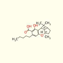 CCCCCc1cc2c(c(O)c1C(=O)O)C1[C@H]3C(CC[C@@]3(C)O2)C1(C)C